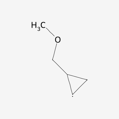 COCC1[CH]C1